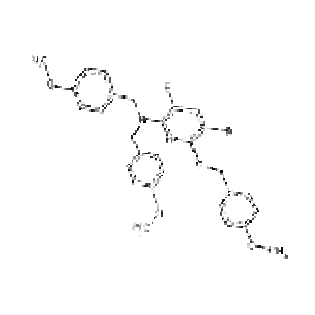 COc1ccc(COc2nc(N(Cc3ccc(OC)cc3)Cc3ccc(OC)cc3)c(F)cc2Br)cc1